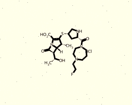 C[C@@H](O)[C@H]1C(=O)N2C(C(=O)O)=C(S[C@@H]3CN[C@H](C(=O)N4CCCN(CCF)CC4)C3)[C@H](C)[C@H]12.Cl